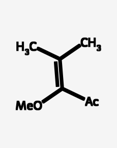 COC(C(C)=O)=C(C)C